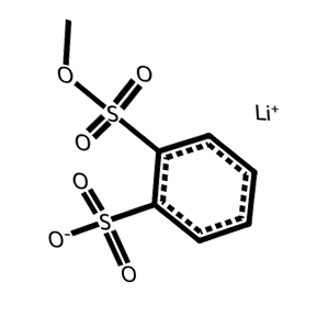 COS(=O)(=O)c1ccccc1S(=O)(=O)[O-].[Li+]